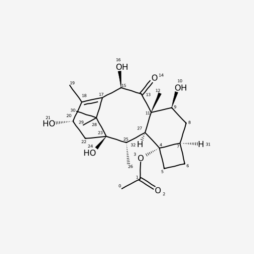 CC(=O)O[C@@]12CC[C@@H]1C[C@H](O)[C@@]1(C)C(=O)[C@H](O)C3=C(C)[C@@H](O)C[C@@](O)([C@@H](C)[C@H]21)C3(C)C